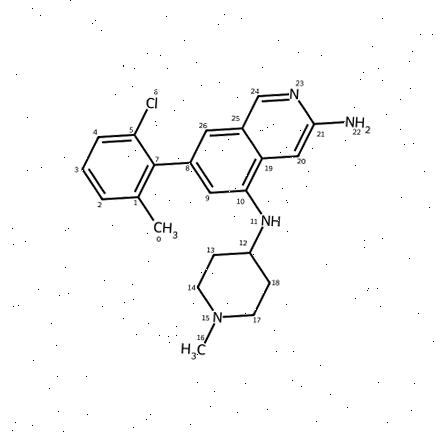 Cc1cccc(Cl)c1-c1cc(NC2CCN(C)CC2)c2cc(N)ncc2c1